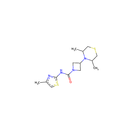 Cc1csc(NC(=O)N2CC(N3C(C)CSCC3C)C2)n1